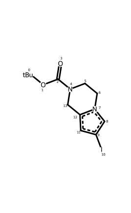 CC(C)(C)OC(=O)N1CCn2cc(I)cc2C1